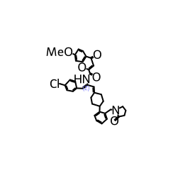 COc1ccc2c(=O)cc(C(=O)N/C(C=C3CCC(c4ccccc4CN4CCCC4=O)CC3)=C\c3ccc(Cl)cc3)oc2c1